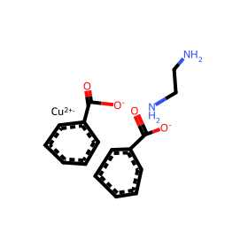 NCCN.O=C([O-])c1ccccc1.O=C([O-])c1ccccc1.[Cu+2]